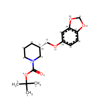 CC(C)(C)OC(=O)N1CCC[C@H](COc2ccc3c(c2)OCO3)C1